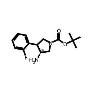 CC(C)(C)OC(=O)N1CC(c2ccccc2F)[C@H](N)C1